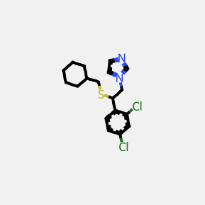 Clc1ccc(C(Cn2ccnc2)SCC2CCCCC2)c(Cl)c1